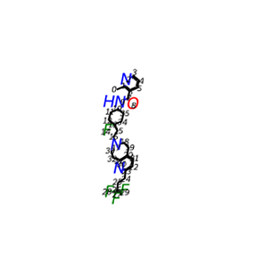 Cc1ncccc1C(=O)N[C@H]1CC[C@](F)(CCN2CCc3ccc(CCC(F)(F)F)nc3CC2)CC1